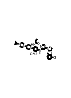 C=CC(=O)Nc1cc(Nc2cc(N3OCC[C@@H]3Cc3cccc(Cl)c3F)ncn2)c(OC)cc1N1CCC(N2CCN(C3CC3)CC2)CC1